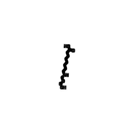 O=C(O)CCCCCCCNCOOO